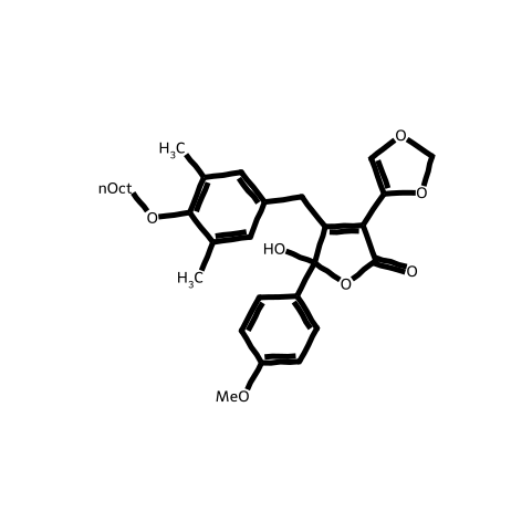 CCCCCCCCOc1c(C)cc(CC2=C(C3=COCO3)C(=O)OC2(O)c2ccc(OC)cc2)cc1C